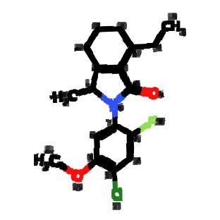 [CH2]C1C2=C(C(=O)N1c1cc(OC)c(Cl)cc1F)C(CC)CCC2